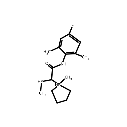 CPC(C(=O)Nc1c(C)cc(F)cc1C)[PH]1(C)CCCC1